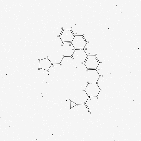 O=C(C1CC1)N1CCC(Oc2ccc(-c3ccc4cccnc4c3OCCN3CCCC3)cc2)CC1